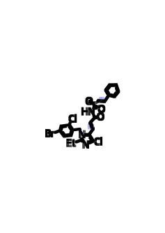 CCc1nc(Cl)c(/C=C/C(=O)NS(=O)(=O)/C=C/c2ccccc2)n1Cc1ccc(Br)cc1Cl